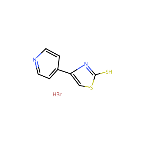 Br.Sc1nc(-c2ccncc2)cs1